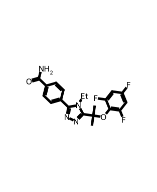 CCn1c(-c2ccc(C(N)=O)cc2)nnc1C(C)(C)Oc1c(F)cc(F)cc1F